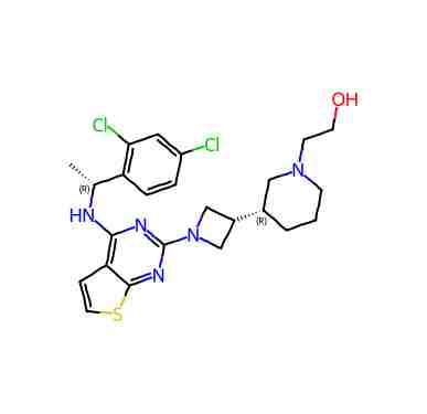 C[C@@H](Nc1nc(N2CC([C@H]3CCCN(CCO)C3)C2)nc2sccc12)c1ccc(Cl)cc1Cl